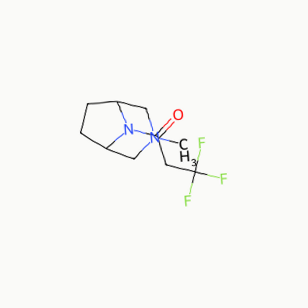 CN1CC2CCC(C1)N2C(=O)CC(F)(F)F